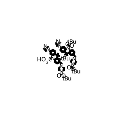 CC(C)(C)OC(=O)N1CCN(Cc2ccc3c(c2)C(C)(C)c2ccc(-n4ccnc4)cc2N3C(=O)OC(C)(C)C)CC1.CC(C)(C)OC(=O)N1CCN(Cc2ccc3c(c2C(C)(C)C)C(C)(C)c2ccc(-n4ccnc4)cc2N3C(=O)O)CC1